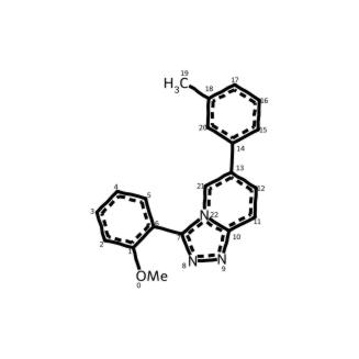 COc1ccccc1-c1nnc2ccc(-c3cccc(C)c3)cn12